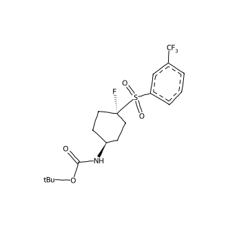 CC(C)(C)OC(=O)N[C@H]1CC[C@@](F)(S(=O)(=O)c2cccc(C(F)(F)F)c2)CC1